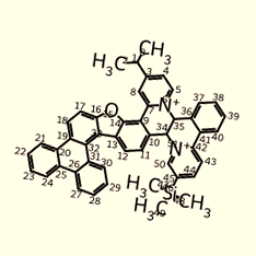 CC(C)c1cc[n+]2c(c1)-c1c(ccc3c1oc1ccc4c5ccccc5c5ccccc5c4c13)C1C2c2ccccc2-c2ccc([Si](C)(C)C)c[n+]21